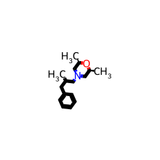 CC(Cc1ccccc1)CN1C[C@H](C)O[C@@H](C)C1